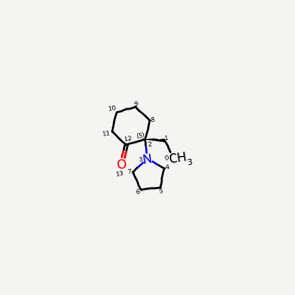 CC[C@]1(N2CCCC2)CCCCC1=O